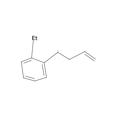 C=CC[CH]c1ccccc1CC